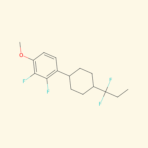 CCC(F)(F)C1CCC(c2ccc(OC)c(F)c2F)CC1